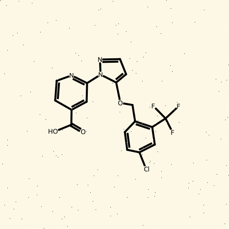 O=C(O)c1ccnc(-n2nccc2OCc2ccc(Cl)cc2C(F)(F)F)c1